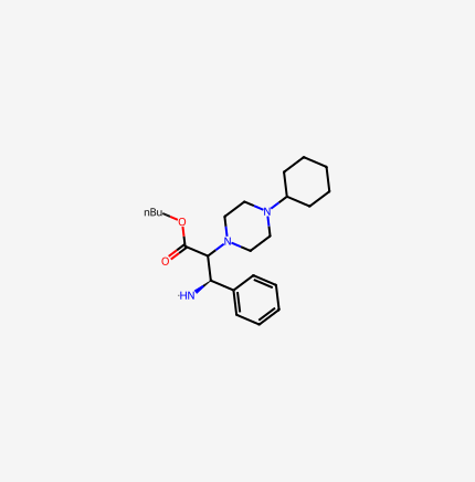 CCCCOC(=O)C([C@H]([NH])c1ccccc1)N1CCN(C2CCCCC2)CC1